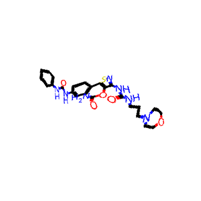 NC(=O)Oc1c(NC(=O)NCCCN2CCOCC2)nsc1-c1ccc(NC(=O)Nc2ccccc2)cc1